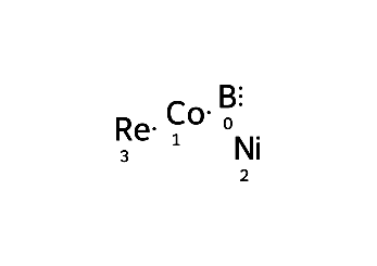 [B].[Co].[Ni].[Re]